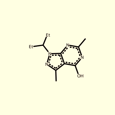 CCC(CC)n1nc(C)c2c(O)nc(C)nc21